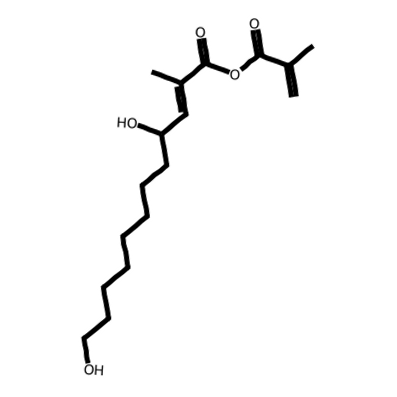 C=C(C)C(=O)OC(=O)C(C)=CC(O)CCCCCCCCO